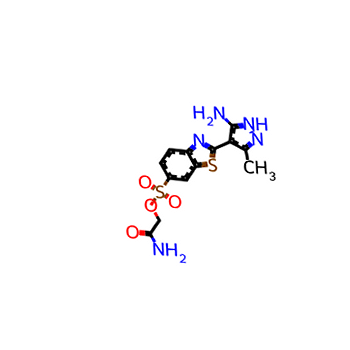 Cc1n[nH]c(N)c1-c1nc2ccc(S(=O)(=O)OCC(N)=O)cc2s1